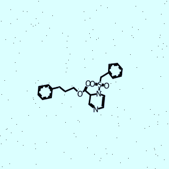 O=C(OCCCc1ccccc1)C1C=NC=CN1S(=O)(=O)Cc1ccccc1